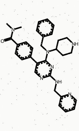 CN(C)C(=O)c1ccc(-c2cnc(NCc3ccccn3)nc2N(Cc2ccccc2)C2CCNCC2)cc1